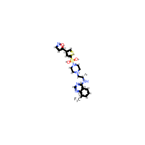 C[C@@H](CN1CCN(S(=O)(=O)c2cc(-c3ccno3)cs2)CC1)Nc1ncnc2c(C(F)(F)F)cccc12